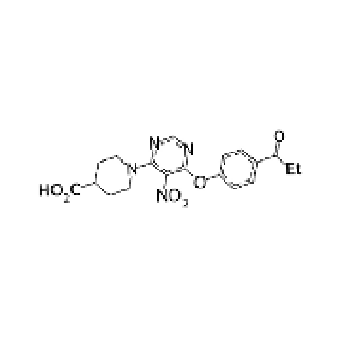 CCC(=O)c1ccc(Oc2ncnc(N3CCC(C(=O)O)CC3)c2[N+](=O)[O-])cc1